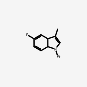 CCN1C=C(C)C2C=C(F)C=CC21